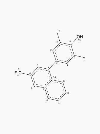 Cc1cc(-c2cc(C(F)(F)F)nc3ccccc23)cc(C)c1O